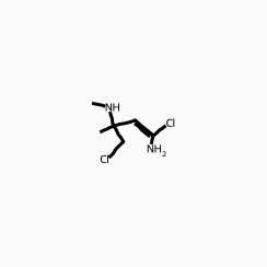 CNC(C)(/C=C(\N)Cl)CCl